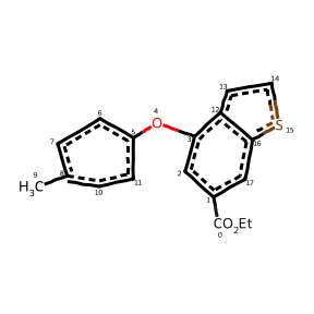 CCOC(=O)c1cc(Oc2ccc(C)cc2)c2ccsc2c1